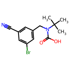 CC(C)(C)N(Cc1cc(Br)cc(C#N)c1)C(=O)O